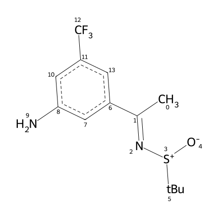 C/C(=N\[S+]([O-])C(C)(C)C)c1cc(N)cc(C(F)(F)F)c1